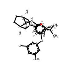 Cc1cc(Cl)cc(Oc2nc(N[C@H]3[C@@H]4CC[C@H]3CN(c3nc(C)no3)C4)nn2C(C)C)c1